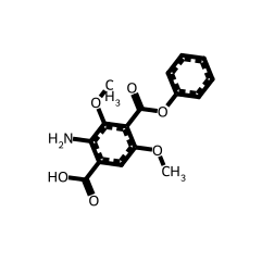 COc1cc(C(=O)O)c(N)c(OC)c1C(=O)Oc1ccccc1